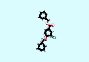 O=C(OCc1ccccc1)c1ccc(OCc2ccccc2)c(Cl)c1